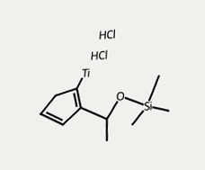 CC(O[Si](C)(C)C)C1=[C]([Ti])CC=C1.Cl.Cl